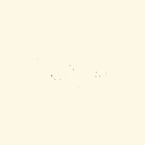 NCCC1CC=CC2=C1N=CC1=CCCc3ccn2c31